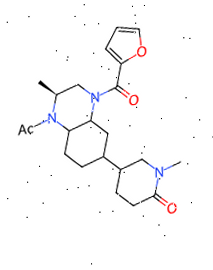 CC(=O)N1C2CCC(C3CCC(=O)N(C)C3)CC2N(C(=O)c2ccco2)C[C@@H]1C